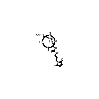 CC(=O)NC12CNCCNCC(NC(=S)NCCCN3C(=O)C=CC3=O)(CNCCNC1)CNCCNC2